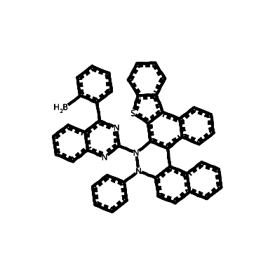 Bc1ccccc1-c1nc(N2c3c(c4ccccc4c4c3sc3ccccc34)-c3c(ccc4ccccc34)N2c2ccccc2)nc2ccccc12